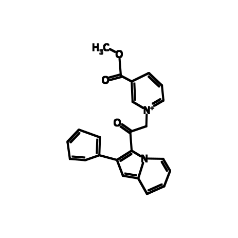 COC(=O)c1ccc[n+](CC(=O)c2c(-c3ccccc3)cc3ccccn23)c1